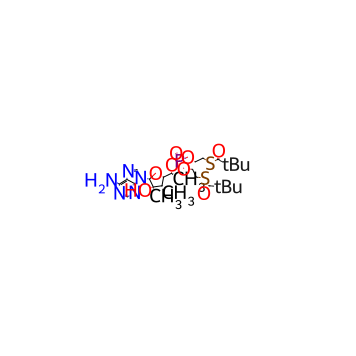 C[C@H](OP(=O)(OCCSC(=O)C(C)(C)C)OCCSC(=O)C(C)(C)C)[C@H]1O[C@@H](n2cnc3c(N)ncnc32)[C@](C)(O)[C@@H]1C